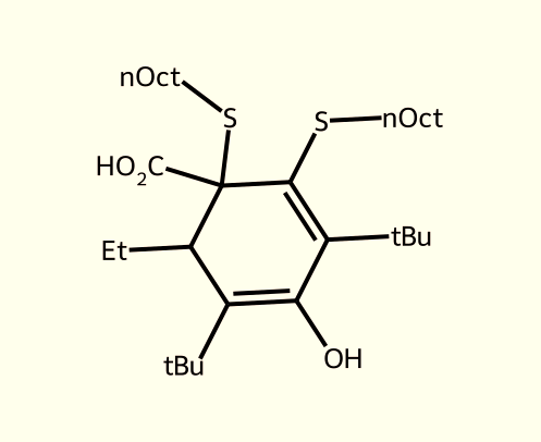 CCCCCCCCSC1=C(C(C)(C)C)C(O)=C(C(C)(C)C)C(CC)C1(SCCCCCCCC)C(=O)O